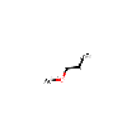 CC[CH]CCOC(C)=O